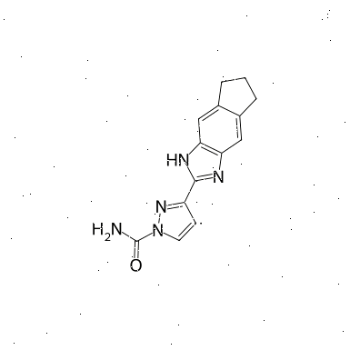 NC(=O)n1c[c]c(-c2nc3cc4c(cc3[nH]2)CCC4)n1